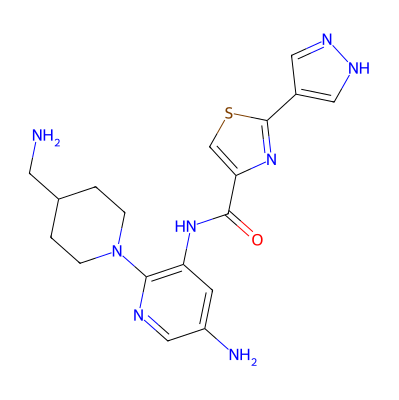 NCC1CCN(c2ncc(N)cc2NC(=O)c2csc(-c3cn[nH]c3)n2)CC1